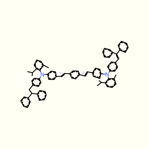 Cc1cccc(C(C)C)c1N(c1ccc(C=C(c2ccccc2)c2ccccc2)cc1)c1ccc(/C=C/c2ccc(/C=C/c3ccc(N(c4ccc(CC(c5ccccc5)c5ccccc5)cc4)c4c(C)cccc4C(C)C)cc3)cc2)cc1